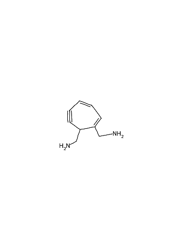 NCC1=CC=CC#CC1CN